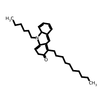 CCCCCCCCCCC1=C2C=C3C=CC=CC3N(CCCCCC)C2=CCC1=O